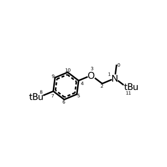 CN(COc1ccc(C(C)(C)C)cc1)C(C)(C)C